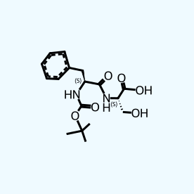 CC(C)(C)OC(=O)N[C@@H](Cc1ccccc1)C(=O)N[C@@H](CO)C(=O)O